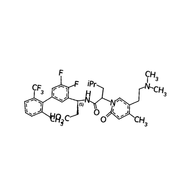 Cc1cc(=O)n(C(CC(C)C)C(=O)N[C@@H](CC(=O)O)c2cc(-c3c(C)cccc3C(F)(F)F)cc(F)c2F)cc1CCN(C)C